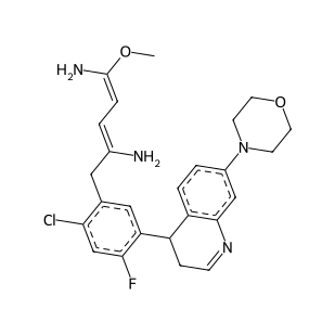 CO/C(N)=C/C=C(\N)Cc1cc(C2CC=Nc3cc(N4CCOCC4)ccc32)c(F)cc1Cl